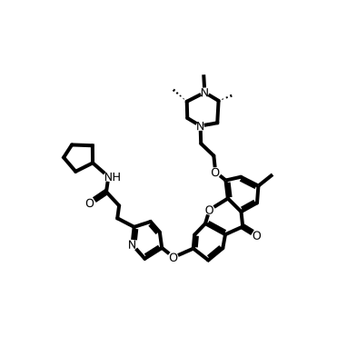 Cc1cc(OCCN2C[C@@H](C)N(C)[C@@H](C)C2)c2oc3cc(Oc4ccc(CCC(=O)NC5CCCC5)nc4)ccc3c(=O)c2c1